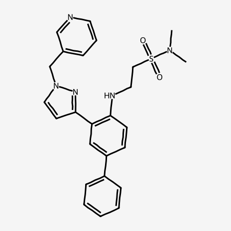 CN(C)S(=O)(=O)CCNc1ccc(-c2ccccc2)cc1-c1ccn(Cc2cccnc2)n1